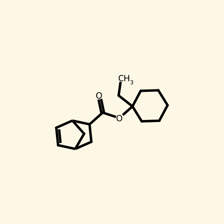 CCC1(OC(=O)C2CC3C=CC2C3)CCCCC1